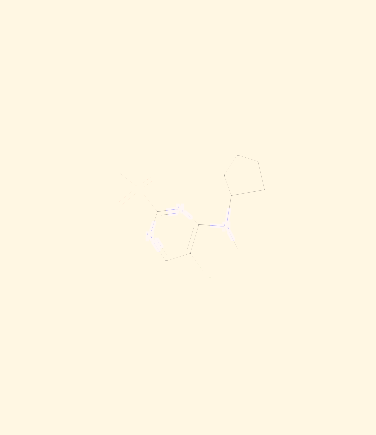 CN(c1nc(S(C)(=O)=O)ncc1Br)C1CCCC1